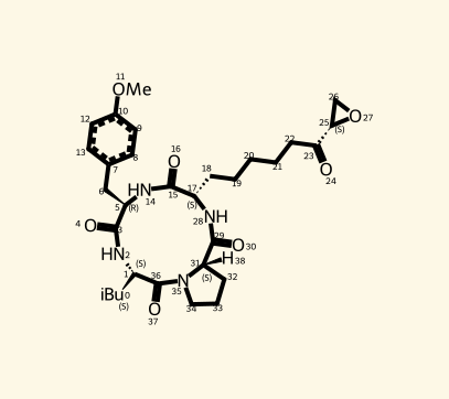 CC[C@H](C)[C@@H]1NC(=O)[C@@H](Cc2ccc(OC)cc2)NC(=O)[C@H](CCCCCC(=O)[C@@H]2CO2)NC(=O)[C@@H]2CCCN2C1=O